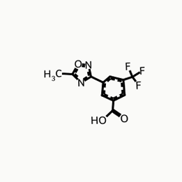 Cc1nc(-c2cc(C(=O)O)cc(C(F)(F)F)c2)no1